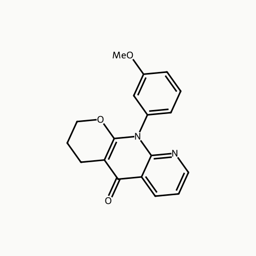 COc1cccc(-n2c3c(c(=O)c4cccnc42)CCCO3)c1